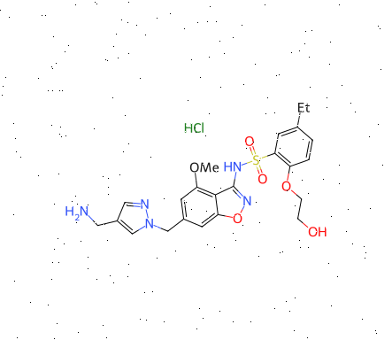 CCc1ccc(OCCO)c(S(=O)(=O)Nc2noc3cc(Cn4cc(CN)cn4)cc(OC)c23)c1.Cl